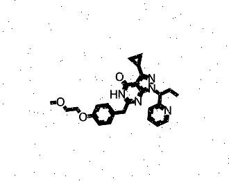 CCC(c1ccccn1)n1nc(C2CC2)c2c(=O)[nH]c(Cc3ccc(OCCOC)cc3)nc21